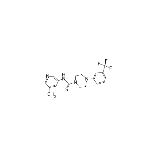 Cc1cncc(NC(=S)N2CCN(c3cccc(C(F)(F)F)c3)CC2)c1